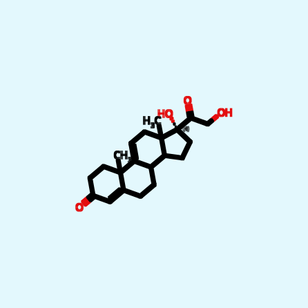 CC12CCC(=O)C=C1CCC1C2=CCC2(C)C1CC[C@]2(O)C(=O)CO